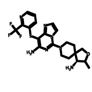 CC1OCC2(CCN(c3nc(N)c(Sc4cccnc4C(F)(F)F)c4nccn34)CC2)[C@@H]1N